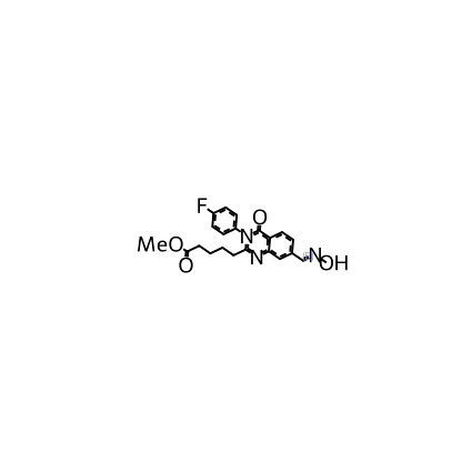 COC(=O)CCCCc1nc2cc(/C=N/O)ccc2c(=O)n1-c1ccc(F)cc1